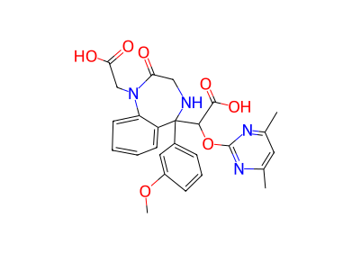 COc1cccc(C2(C(Oc3nc(C)cc(C)n3)C(=O)O)NCC(=O)N(CC(=O)O)c3ccccc32)c1